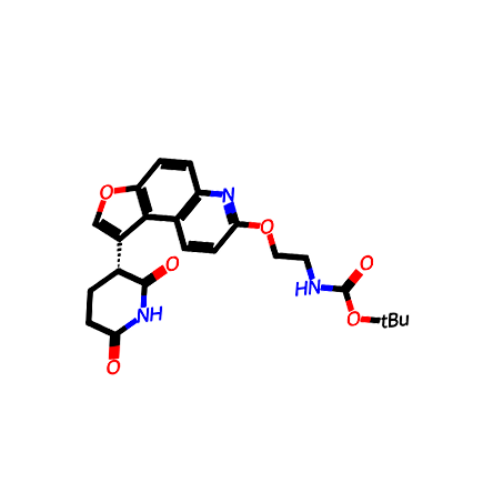 CC(C)(C)OC(=O)NCCOc1ccc2c(ccc3occ([C@H]4CCC(=O)NC4=O)c32)n1